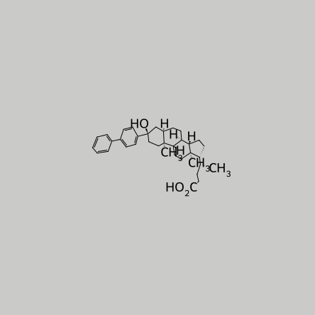 C[C@H](CCC(=O)O)[C@H]1CC[C@H]2[C@@H]3CC[C@@H]4C[C@@](O)(c5ccc(-c6ccccc6)cc5)CC[C@]4(C)[C@H]3CC[C@]12C